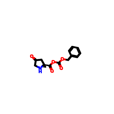 O=C1CN[C@H](C(=O)OC(=O)OCc2ccccc2)C1